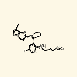 Cc1cnn2ccc(N3CCC[C@@H]3c3cc(F)cnc3NCCCNC=O)nc12